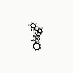 O=C(NC1CCCCCCC1)NS(=O)(=O)c1cnccc1NC1CCCCC1